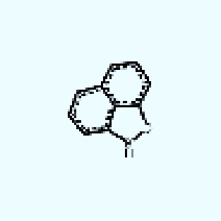 B1Oc2cccc3cccc1c23